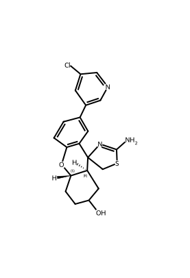 NC1=NC2(CS1)c1cc(-c3cncc(Cl)c3)ccc1O[C@H]1CCC(O)C[C@@H]12